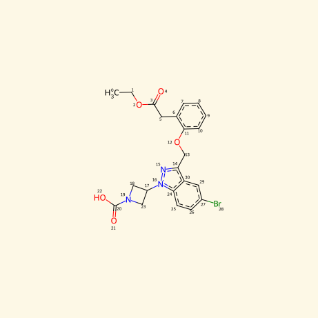 CCOC(=O)Cc1ccccc1OCc1nn(C2CN(C(=O)O)C2)c2ccc(Br)cc12